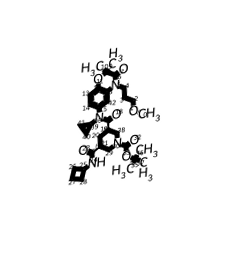 COCCCN1C(=O)C(C)(C)Oc2ccc(N(C(=O)[C@@H]3C[C@H](C(=O)NC4CCC4)CN(C(=O)OC(C)(C)C)C3)C3CC3)cc21